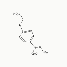 CC(C)(C)ON(C=O)c1ccc(OCC(=O)O)cc1